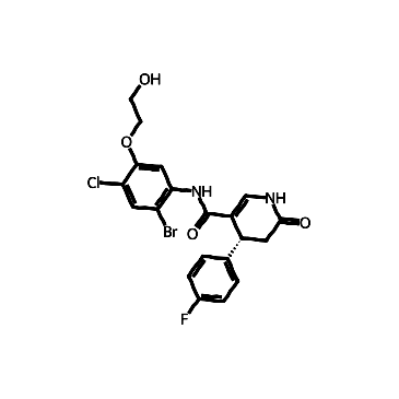 O=C1C[C@H](c2ccc(F)cc2)C(C(=O)Nc2cc(OCCO)c(Cl)cc2Br)=CN1